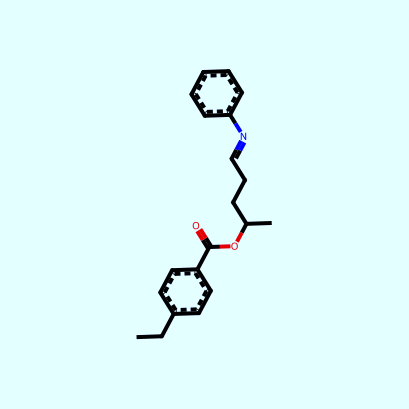 CCc1ccc(C(=O)OC(C)CCC=Nc2ccccc2)cc1